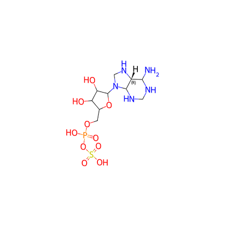 NC1NCNC2[C@@H]1NCN2C1OC(COP(=O)(O)OS(=O)(=O)O)C(O)C1O